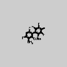 Bc1c(F)cc(F)c(-c2c(F)c(F)c(C)c(F)c2F)c1OC